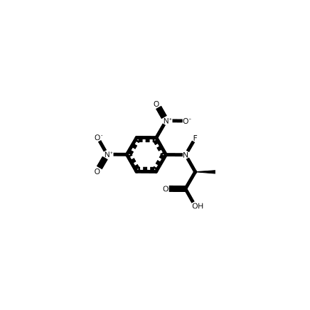 C[C@@H](C(=O)O)N(F)c1ccc([N+](=O)[O-])cc1[N+](=O)[O-]